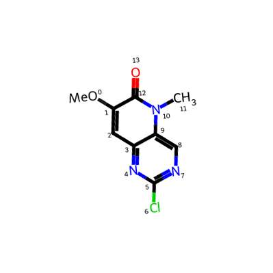 COc1cc2nc(Cl)ncc2n(C)c1=O